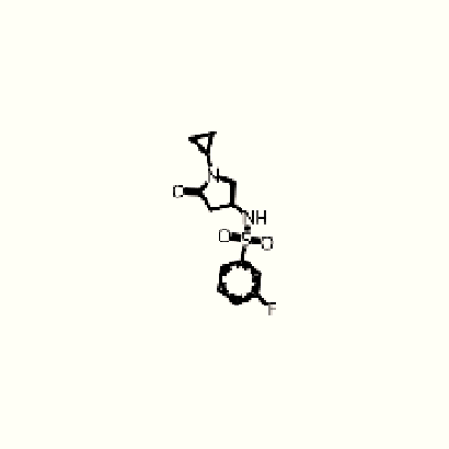 O=C1CC(NS(=O)(=O)c2cccc(F)c2)CN1C1CC1